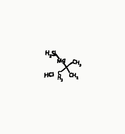 C[C](C)(C)[Mg][SiH3].Cl